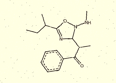 CCC(C)C1=NC(C(C)C(=O)c2ccccc2)N(NC)O1